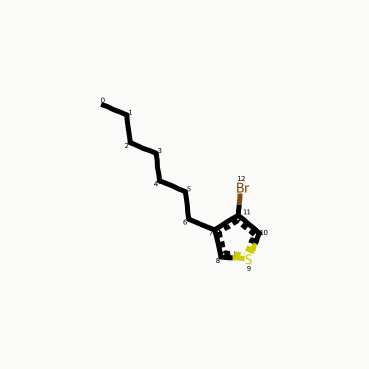 CCCCCCCc1cscc1Br